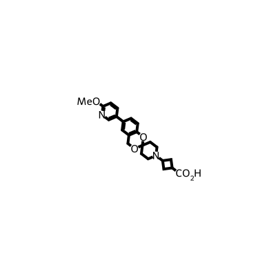 COc1ccc(-c2ccc3c(c2)COC2(CCN(C4CC(C(=O)O)C4)CC2)O3)cn1